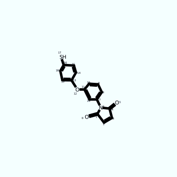 O=C1C=CC(=O)N1c1cccc(Oc2ccc(S)cc2)c1